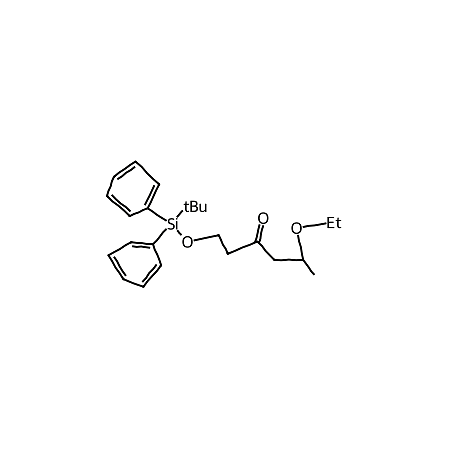 CCOC(C)CC(=O)CCO[Si](c1ccccc1)(c1ccccc1)C(C)(C)C